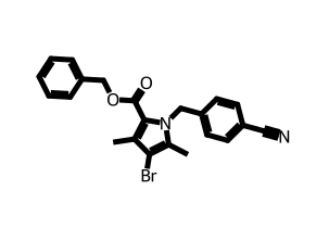 Cc1c(Br)c(C)n(Cc2ccc(C#N)cc2)c1C(=O)OCc1ccccc1